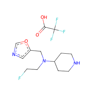 FCCN(Cc1cnco1)C1CCNCC1.O=C(O)C(F)(F)F